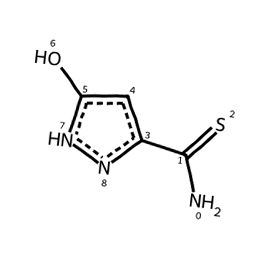 NC(=S)c1cc(O)[nH]n1